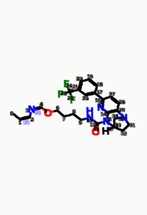 C/C=C\N=C/OCCCCNC(=O)N1c2nc(-c3cccc(C(F)(F)F)c3)ccc2N2CC[C@H]1C2